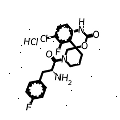 Cl.N[C@H](Cc1ccc(F)cc1)C(=O)N1CCCC2(C1)OC(=O)Nc1ccc(Cl)c(F)c12